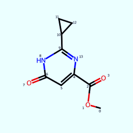 COC(=O)c1cc(=O)[nH]c(C2CC2)n1